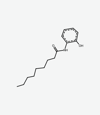 CCCCCCCCC(=O)Nc1ccccc1O